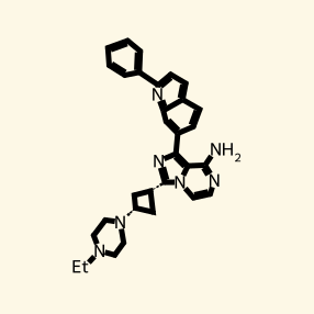 CCN1CCN([C@H]2C[C@@H](c3nc(-c4ccc5ccc(-c6ccccc6)nc5c4)c4c(N)nccn43)C2)CC1